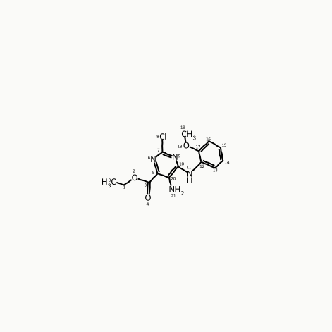 CCOC(=O)c1nc(Cl)nc(Nc2ccccc2OC)c1N